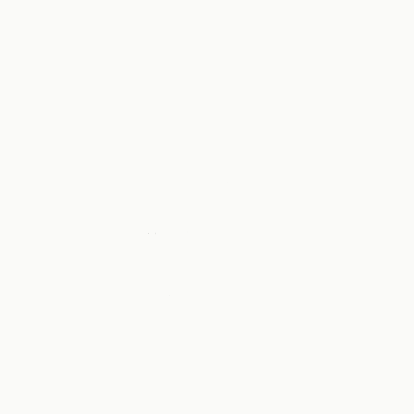 Clc1c(-c2ccccc2-c2ccccc2)ccc2oc3ccccc3c12